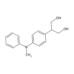 CN(c1ccccc1)c1ccc(C(CO)CO)cc1